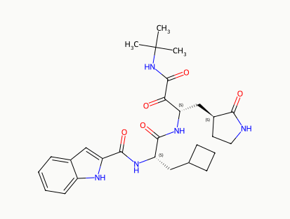 CC(C)(C)NC(=O)C(=O)[C@H](C[C@@H]1CCNC1=O)NC(=O)[C@H](CC1CCC1)NC(=O)c1cc2ccccc2[nH]1